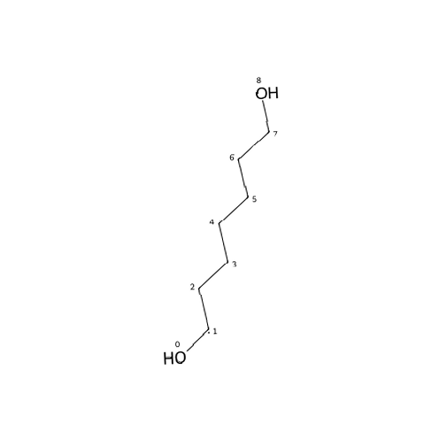 O[CH]CCCCCCO